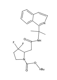 CCCCOC(=O)N1CCC(F)(F)C1CC(=O)NC(C)(C)c1nccc2ccccc12